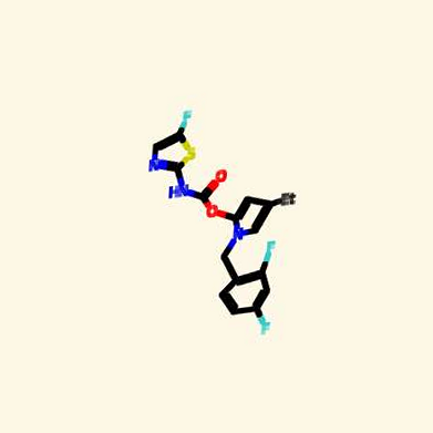 CCc1cc(OC(=O)Nc2ncc(F)s2)n(Cc2ccc(F)cc2F)c1